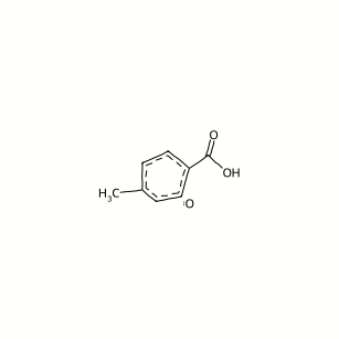 Cc1ccc(C(=O)O)cc1.[O]